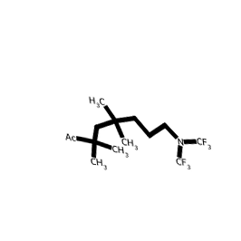 CC(=O)C(C)(C)CC(C)(C)CCCN(C(F)(F)F)C(F)(F)F